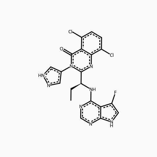 CC[C@H](Nc1ncnc2[nH]cc(F)c12)c1nc2c(Cl)ccc(Cl)c2c(=O)n1-c1cn[nH]c1